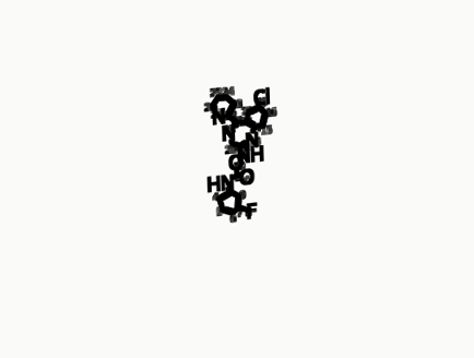 O=C(Nc1cccc(F)c1)ONC1=Nc2ccc(Cl)cc2C(c2ccccn2)=NC1